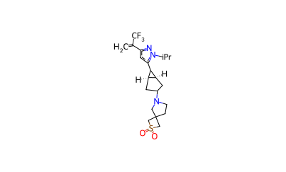 C=C(c1cc(C2[C@H]3CC(N4CCC5(C4)CS(=O)(=O)C5)C[C@@H]23)n(C(C)C)n1)C(F)(F)F